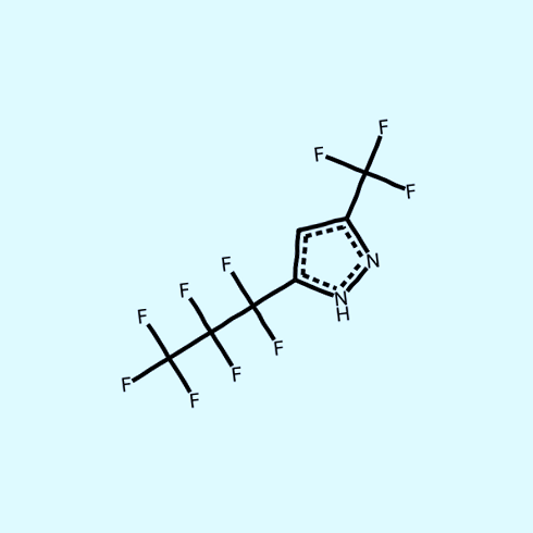 FC(F)(F)c1cc(C(F)(F)C(F)(F)C(F)(F)F)[nH]n1